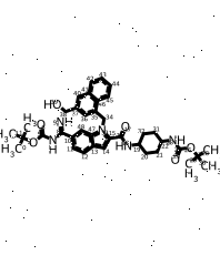 CC(C)(C)OC(=O)NC(=N)c1ccc2cc(C(=O)NC3CCC(NC(=O)OC(C)(C)C)CC3)n(Cc3cc(CO)cc4ccccc34)c2c1